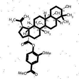 C=C(C)[C@@H]1CC[C@]2(C(=O)Oc3ccc(C(=O)OC)cc3OC)CC[C@]3(C)[C@H](CC[C@@H]4[C@@]5(C)CC[C@H](O)C(C)(C)[C@@H]5CC[C@]43C)[C@@H]12